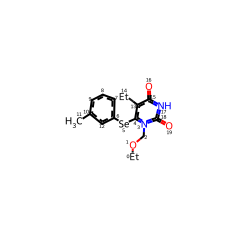 CCOCn1c([Se]c2cccc(C)c2)c(CC)c(=O)[nH]c1=O